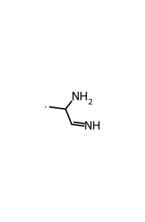 [CH2]C(N)C=N